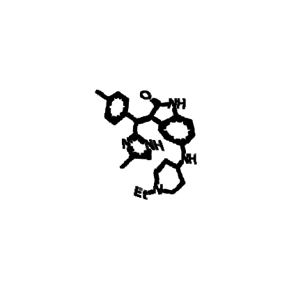 CCN1CCC(Nc2ccc3c(c2)C(=C(c2ccc(C)cc2)c2nc(C)c[nH]2)C(=O)N3)CC1